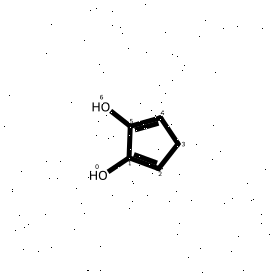 OC1=[C]CC=C1O